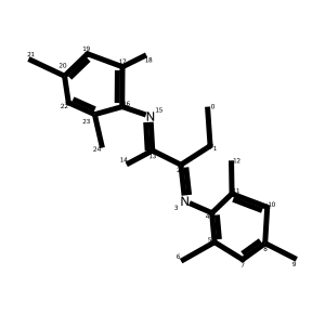 CCC(=N\c1c(C)cc(C)cc1C)/C(C)=N/c1c(C)cc(C)cc1C